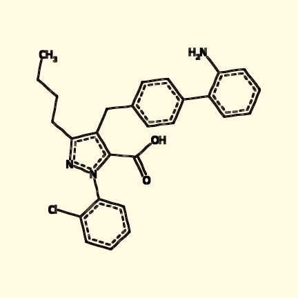 CCCCc1nn(-c2ccccc2Cl)c(C(=O)O)c1Cc1ccc(-c2ccccc2N)cc1